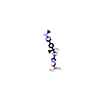 CN(C)C(=O)Cn1cc(-c2nc(C(C)(c3ccc(-c4cnc(NC5CC5)nc4)cc3)C3CC3)no2)cn1